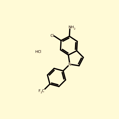 Cl.Nc1cc2ccn(-c3ccc(C(F)(F)F)cc3)c2cc1Cl